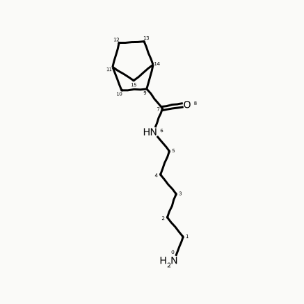 NCCCCCNC(=O)C1CC2CCC1C2